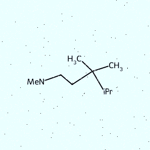 CNCCC(C)(C)C(C)C